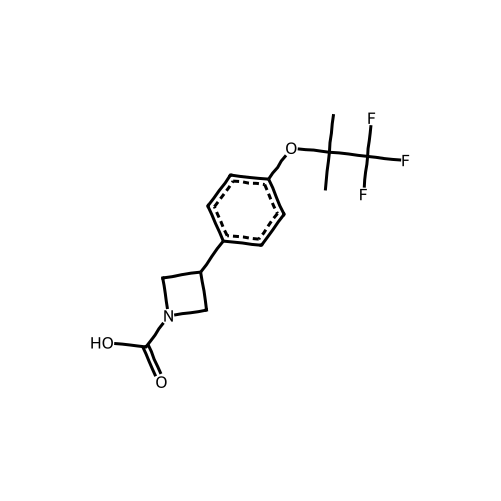 CC(C)(Oc1ccc(C2CN(C(=O)O)C2)cc1)C(F)(F)F